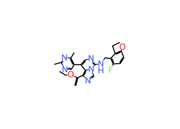 C=C(OCC)c1ncn2c(NCc3c(F)ccc4c3CCO4)ncc(-c3cnc(C)nc3C)c12